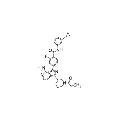 C=CC(=O)N1CCCC(c2nc(-c3ccc(C(=O)Nc4cc(C5CC5)ccn4)c(F)c3)n3c(N)nccc23)C1